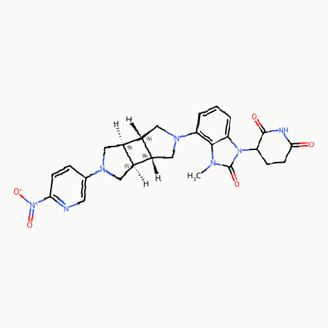 Cn1c(=O)n(C2CCC(=O)NC2=O)c2cccc(N3C[C@@H]4[C@H]5CN(c6ccc([N+](=O)[O-])nc6)C[C@H]5[C@@H]4C3)c21